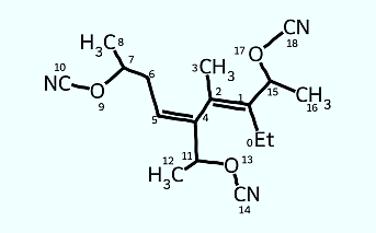 CC/C(=C(C)\C(=C/CC(C)OC#N)C(C)OC#N)C(C)OC#N